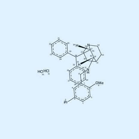 COc1ccc(C(C)C)cc1CN[C@H]1C2CCN(CC2)[C@H]1C(c1ccccc1)c1ccccc1.Cl.Cl